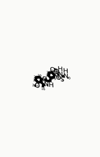 CNC(=S)NS(=O)(=O)c1cc(CC(=O)NC(C)c2ccccc2OC)ccc1OC